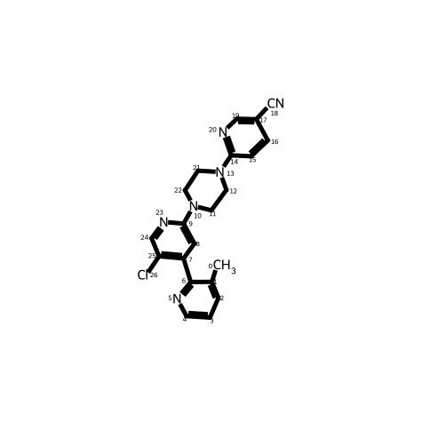 Cc1cccnc1-c1cc(N2CCN(c3ccc(C#N)cn3)CC2)ncc1Cl